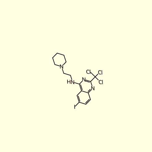 ClC(Cl)(Cl)c1nc(NCCN2CCCCC2)c2cc(I)ccc2n1